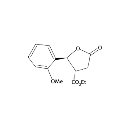 CCOC(=O)[C@H]1CC(=O)O[C@@H]1c1ccccc1OC